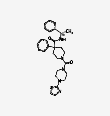 C[C@H](NC(=O)C1(c2ccccc2)CCN(C(=O)N2CCN(c3nccs3)CC2)CC1)c1ccccc1